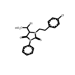 CCC(C(=O)O)C1C(=O)N(c2ccccc2)C(=S)N1CCc1ccc(Cl)cc1